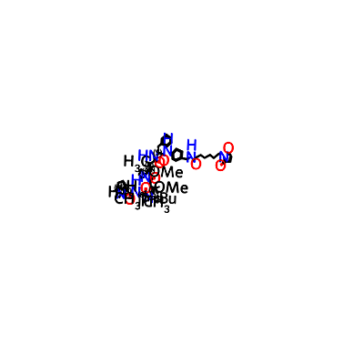 CC[C@H](C)[C@@H]([C@@H](CC(=O)N1CCC[C@H]1[C@H](OC)[C@@H](C)C(=O)N[C@@H](Cc1ccccc1)C(=O)Nc1ccc(CNC(=O)CCCCCN2C(=O)C=CC2=O)cc1)OC)N(C)C(=O)[C@@H](NC(=O)[C@@H]1[C@H]2CC[C@H](C2)N1C)C(C)C